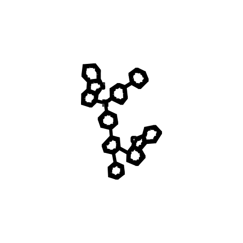 c1ccc(-c2ccc(N(c3ccc(-c4ccc(-c5ccccc5)c(-c5cccc6c5oc5ccccc56)c4)cc3)c3cccc4c3sc3ccccc34)cc2)cc1